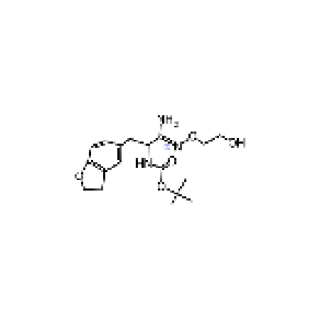 CC(C)(C)OC(=O)NC(Cc1ccc2c(c1)CCO2)/C(N)=N/OCCO